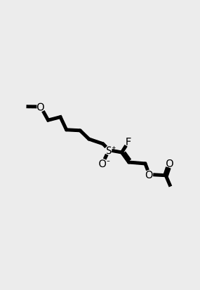 COCCCCCC[S+]([O-])/C(F)=C/COC(C)=O